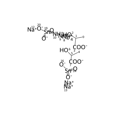 CC(O)C(=O)[O-].CC(O)C(=O)[O-].[NH4+].[NH4+].[NH4+].[Na+].[Na+].[Na+].[O]=[Sn]([O-])[O-].[O]=[Sn]([O-])[O-]